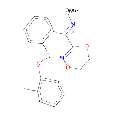 CO/N=C(/C1=NOCCO1)c1ccccc1COc1ccccc1C